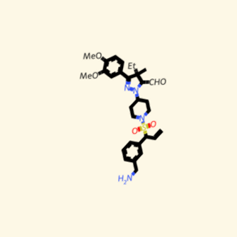 C=CC(c1cccc(CN)c1)S(=O)(=O)N1CCC(N2N=C(c3ccc(OC)c(OC)c3)C(C)(CC)C2C=O)CC1